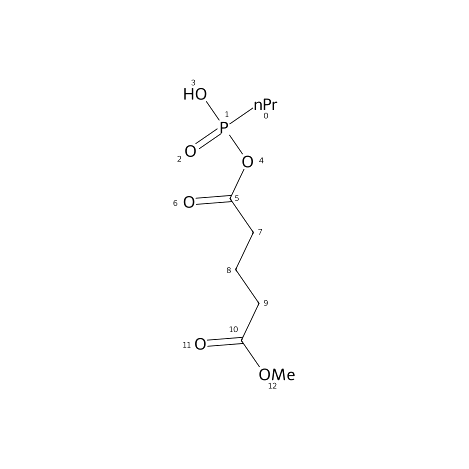 CCCP(=O)(O)OC(=O)CCCC(=O)OC